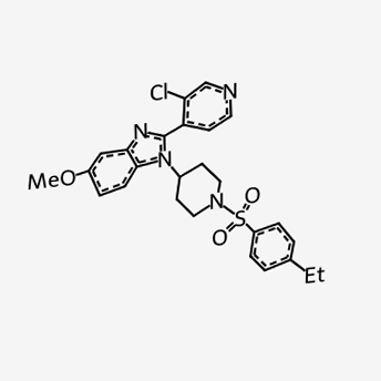 CCc1ccc(S(=O)(=O)N2CCC(n3c(-c4ccncc4Cl)nc4cc(OC)ccc43)CC2)cc1